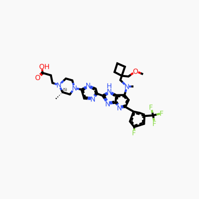 COCC1(CN(C)c2cc(-c3cc(F)cc(C(F)(F)F)c3)nc3nc(-c4cnc(N5CCN(CCC(=O)O)[C@@H](C)C5)cn4)[nH]c23)CCC1